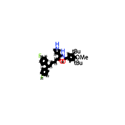 COc1c(C(C)(C)C)cc(C(=O)N[C@H](C(=O)CCCCC(c2ccc(F)cc2)c2ccc(F)cc2)C2CCNC2)cc1C(C)(C)C